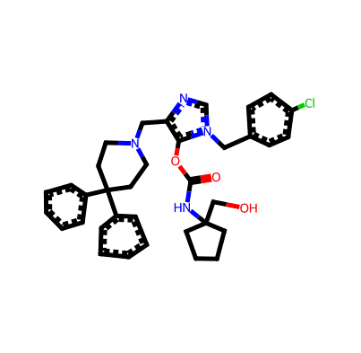 O=C(NC1(CO)CCCC1)Oc1c(CN2CCC(c3ccccc3)(c3ccccc3)CC2)ncn1Cc1ccc(Cl)cc1